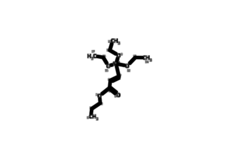 CCCOC(=O)C=C[Si](OCC)(OCC)OCC